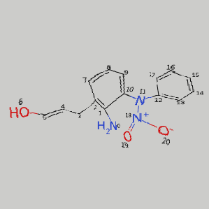 Nc1c(CC=CO)cccc1N(c1ccccc1)[N+](=O)[O-]